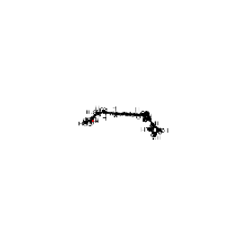 C[C@H](CCCOP(=O)(O)NC(CCC(=O)O)C(=O)O)NC(=O)CC[C@H](NC(=O)CCCCCNC(=O)CCOCCOCCOCCOCCNC(=O)CCC(=O)N1Cc2ccccc2-c2c(nnn2CCCNC(=O)CN2CCN(CC(=O)O)CCN(CC(=O)O)CCN(CC(=O)O)CC2)-c2ccccc21)C(=O)O